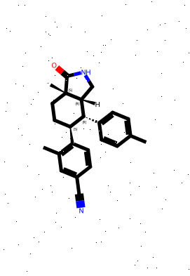 Cc1ccc([C@@H]2[C@@H](c3ccc(C#N)cc3C)CC[C@]3(C)C(=O)NC[C@H]23)cc1